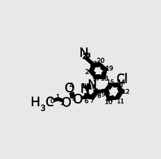 CCOC(=O)Oc1cc(-c2cccc(Cl)c2)n(-c2cccc(C#N)c2)n1